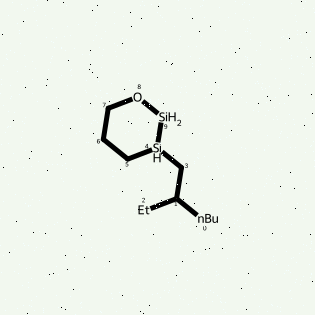 CCCCC(CC)C[SiH]1CCCO[SiH2]1